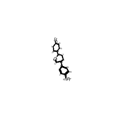 CCCc1ccc(C2CCC(C3CCC(CC)CC3)OC2)cc1